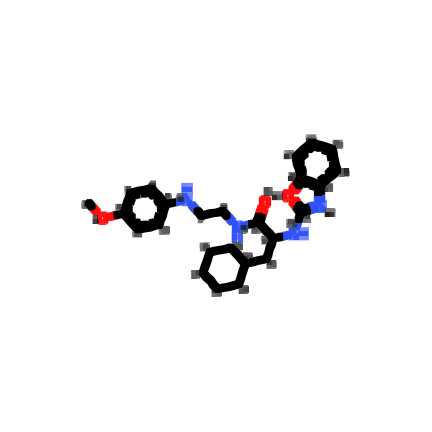 COc1ccc(NCCNC(=O)C(CC2CCCCC2)Nc2nc3ccccc3o2)cc1